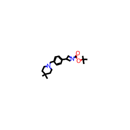 CC1(C)CCN(Cc2ccc(C3CN(C(=O)OC(C)(C)C)C3)cc2)CC1